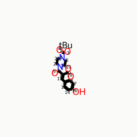 CC(C)(C)OC(=O)N1CCN(C(=O)c2cc3ccc(O)cc3oc2=O)CC1